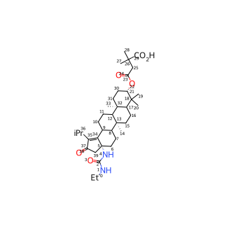 CCNC(=O)N[C@@]12CCC3C(CCC4[C@@]3(C)CCC3C(C)(C)[C@@H](OC(=O)CC(C)(C)C(=O)O)CC[C@@]34C)C1=C(C(C)C)C(=O)C2